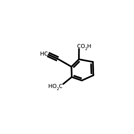 C#Cc1c(C(=O)O)cccc1C(=O)O